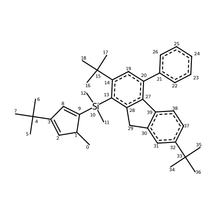 CC1C=C(C(C)(C)C)C=C1[Si](C)(C)c1c(C(C)(C)C)cc(-c2ccccc2)c2c1Cc1cc(C(C)(C)C)ccc1-2